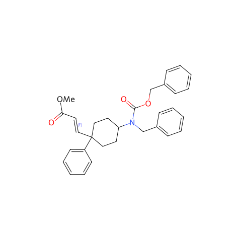 COC(=O)/C=C/C1(c2ccccc2)CCC(N(Cc2ccccc2)C(=O)OCc2ccccc2)CC1